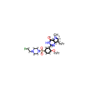 CCCOc1ccc(S(=O)(=O)N2CCN(CCF)CC2)cc1-c1nc2c(CCC)cn(C)c2c(=O)[nH]1